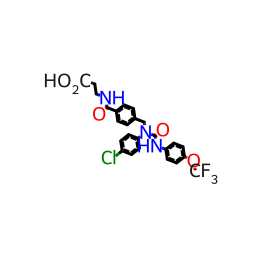 O=C(O)CCNC(=O)c1ccc(CN(C(=O)Nc2ccc(OC(F)(F)F)cc2)c2ccc(Cl)cc2)cc1